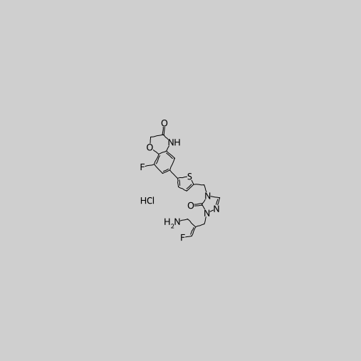 Cl.NC/C(=C\F)Cn1ncn(Cc2ccc(-c3cc(F)c4c(c3)NC(=O)CO4)s2)c1=O